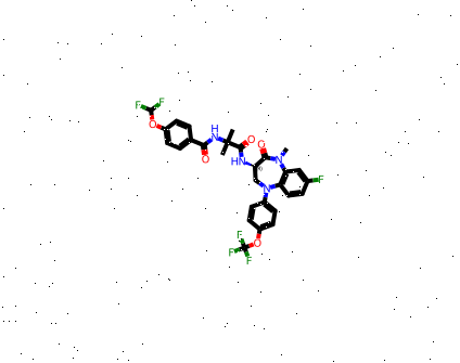 CN1C(=O)[C@H](NC(=O)C(C)(C)NC(=O)c2ccc(OC(F)F)cc2)CN(c2ccc(OC(F)(F)F)cc2)c2ccc(F)cc21